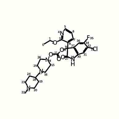 CCOc1ncccc1C1(OC(=O)ON2CCN(C3CCN(C)CC3)CC2)C(=O)Nc2cc(Cl)c(F)cc21